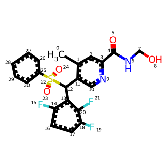 Cc1cc(C(=O)NCO)ncc1C(c1c(F)ccc(F)c1F)S(=O)(=O)c1ccccc1